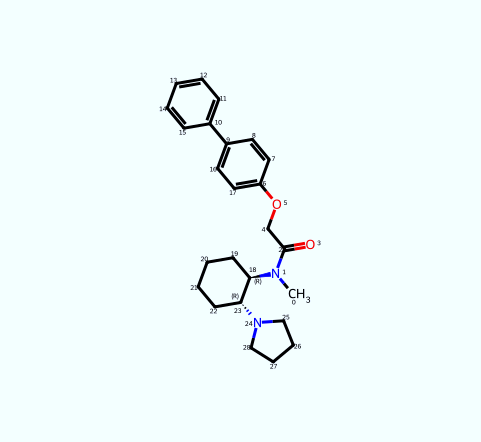 CN(C(=O)COc1ccc(-c2ccccc2)cc1)[C@@H]1CCCC[C@H]1N1CCCC1